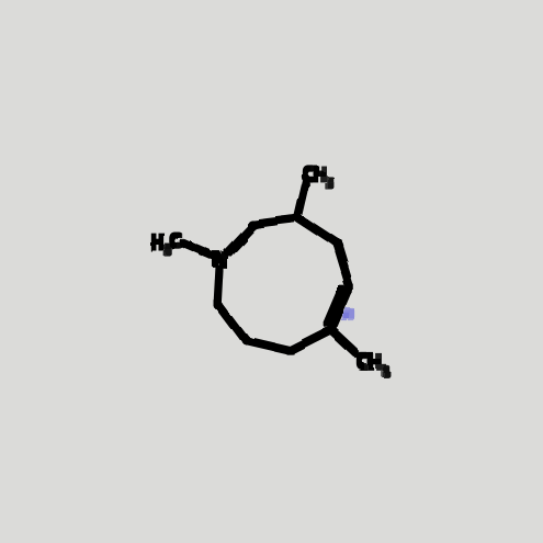 C/C1=C/CC(C)CN(C)CCC1